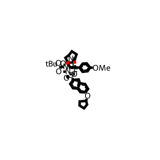 COc1ccc(C(F)(F)C(C(=O)N2C3CCC2CC(NC(=O)OC(C)(C)C)C3)N(C)S(=O)(=O)c2ccc3cc(OC4CCCC4)ccc3c2)cc1